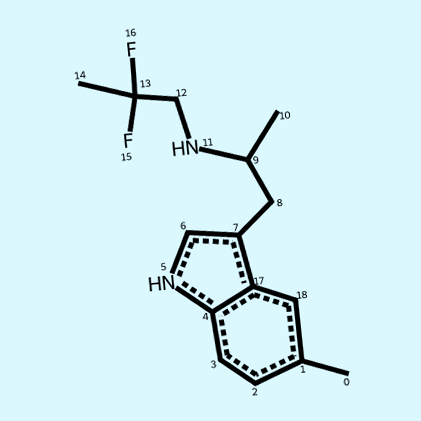 Cc1ccc2[nH]cc(CC(C)NCC(C)(F)F)c2c1